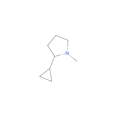 CN1CCCC1C1CC1